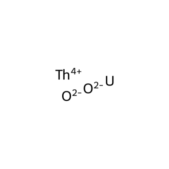 [O-2].[O-2].[Th+4].[U]